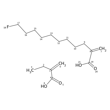 C=C(CC)C(=O)O.C=C(CCCCCCCCCF)C(=O)O